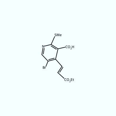 CCOC(=O)C=Cc1c(Br)cnc(SC)c1C(=O)O